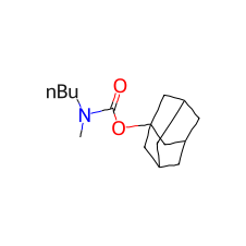 CCCCN(C)C(=O)OC12CC3CC(CC(C3)C1)C2